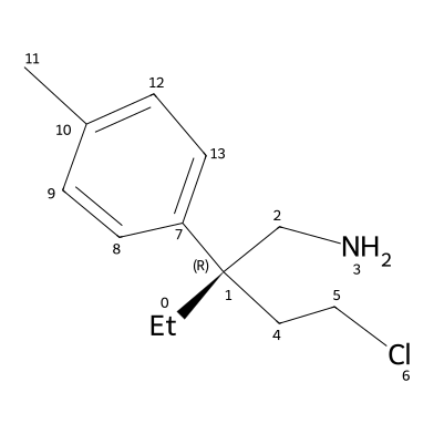 CC[C@@](CN)(CCCl)c1ccc(C)cc1